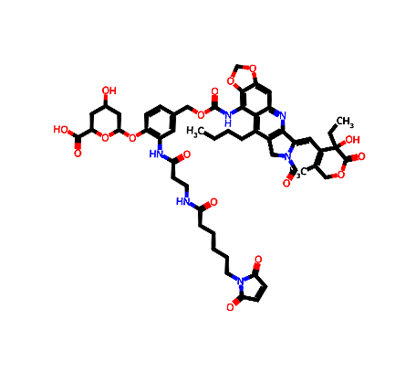 CCCCc1c2c(nc3cc4c(c(NC(=O)OCc5ccc(OC6CC(O)CC(C(=O)O)O6)c(NC(=O)CCNC(=O)CCCCCN6C(=O)C=CC6=O)c5)c13)OCO4)/C(=C/C1=C(C)COC(=O)C1(O)CC)N(C=O)C2